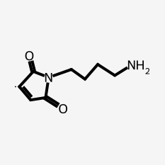 NCCCCN1C(=O)[C]=CC1=O